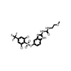 COCCNC(=O)Nc1nc2cc(OS(=O)(=O)c3c(Cl)cc(C(F)(F)F)cc3Cl)ccc2[nH]1